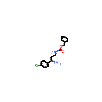 NC(CCNC(=O)OCc1ccccc1)c1ccc(Cl)cc1